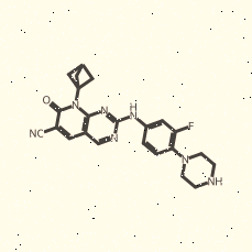 N#Cc1cc2cnc(Nc3ccc(N4CCNCC4)c(F)c3)nc2n(C23CC(C2)C3)c1=O